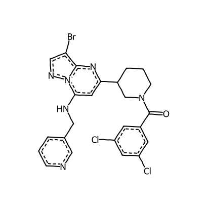 O=C(c1cc(Cl)cc(Cl)c1)N1CCCC(c2cc(NCc3cccnc3)n3ncc(Br)c3n2)C1